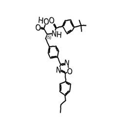 CCCc1ccc(-c2nc(-c3ccc(C[C@H](NC(=O)c4ccc(C(C)(C)C)cc4)C(=O)O)cc3)no2)cc1